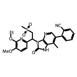 CCOc1nc(C(CS(C)(=O)=O)n2c(=O)[nH]c3c(C)c(-c4ccccc4C#N)cnc32)ccc1OC